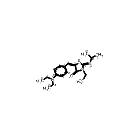 CCN1C(=O)/C(=C\c2ccc(N(CC)CC)cc2)OC1=NC(C)C